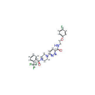 O=C(NCCOc1ccc(F)cc1)c1ccc(N2CCN(C(=O)c3ccccc3C(F)(F)F)CC2)nn1